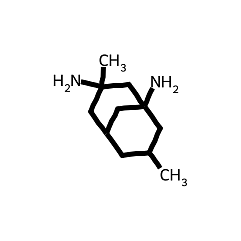 CC1CC2CC(C)(N)CC(N)(C1)C2